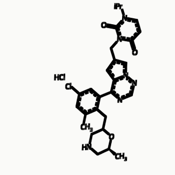 Cc1cc(Cl)cc(-c2ncnn3cc(Cn4c(=O)ccn(C(C)C)c4=O)cc23)c1CC1CNC[C@H](C)O1.Cl